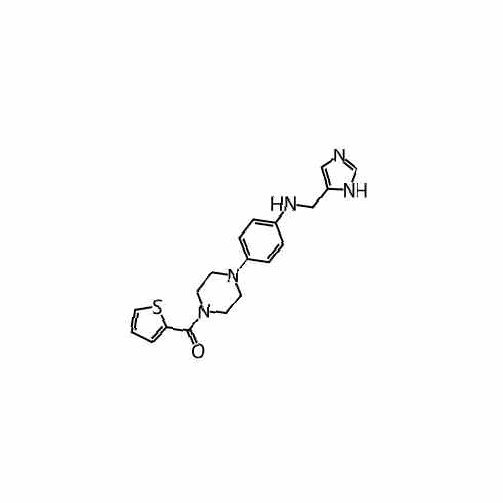 O=C(c1cccs1)N1CCN(c2ccc(NCc3cnc[nH]3)cc2)CC1